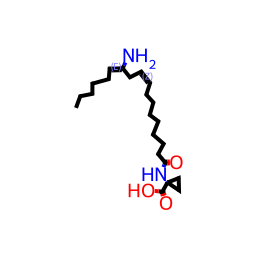 CCCCC/C=C(/N)C/C=C\CCCCCCCC(=O)NC1(C(=O)O)CC1